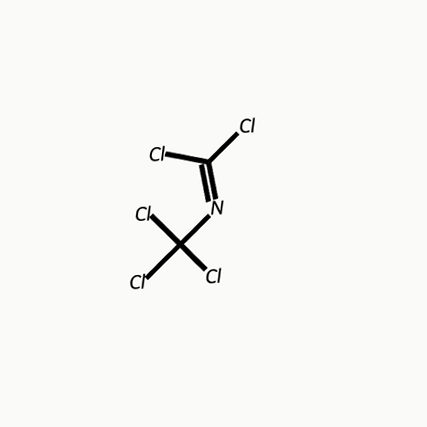 ClC(Cl)=NC(Cl)(Cl)Cl